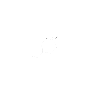 CCN1CC[C@@H](O)C[C@@H]1C